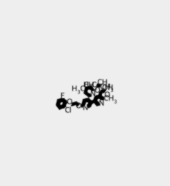 Cc1ncc(-c2ccc(OCCOc3c(F)cccc3Cl)nc2)c(N2CCC(C)(C)CC2)c1C(OC(C)(C)C)C(=O)O